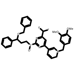 COc1ccc(CN2C=C(c3cc(C(F)F)nc([S+]([O-])CCC(OCc4ccccc4)c4ccccc4)n3)C=CC2)cc1OC